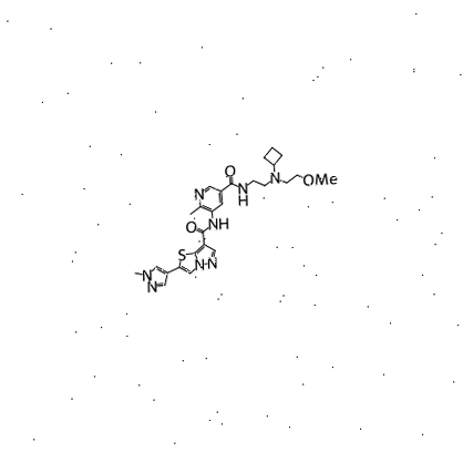 COCCN(CCNC(=O)c1cnc(C)c(NC(=O)c2cnn3cc(-c4cnn(C)c4)sc23)c1)C1CCC1